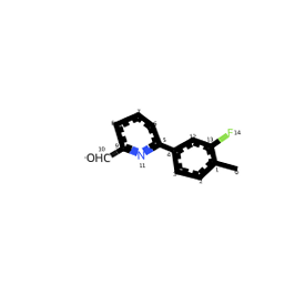 Cc1ccc(-c2cccc([C]=O)n2)cc1F